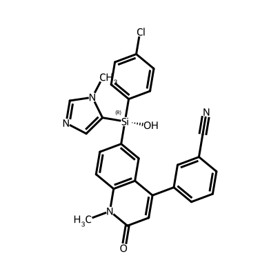 Cn1cncc1[Si@@](O)(c1ccc(Cl)cc1)c1ccc2c(c1)c(-c1cccc(C#N)c1)cc(=O)n2C